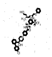 CN(CCO)CC[C@H](CSc1ccccc1)Nc1ccc(S(=O)(=O)NC(=O)c2ccc(N3CCC([C@H](O)c4ccccc4-c4ccc(Cl)cc4)CC3)cc2)cc1S(=O)(=O)C(F)(F)F